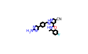 CC(NC(=O)c1cc(C#N)cnc1NCc1ccc(-c2cnc(N)nc2)cc1)c1ccc(F)cc1